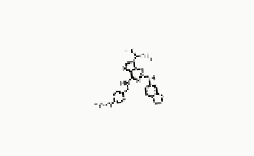 COc1ccc(CNc2nc(Nc3ccc4c(c3)CCC4)nc3c2ncn3C(C)C)cc1